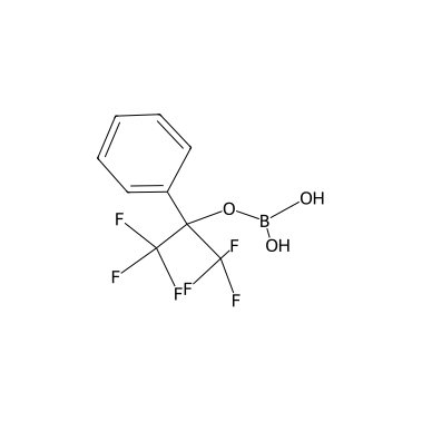 OB(O)OC(c1ccccc1)(C(F)(F)F)C(F)(F)F